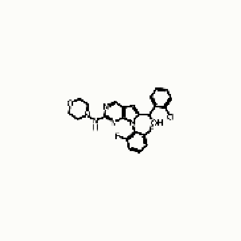 OC(c1ccccc1Cl)c1cc2cnc(NN3CCOCC3)nc2n1-c1c(F)cccc1F